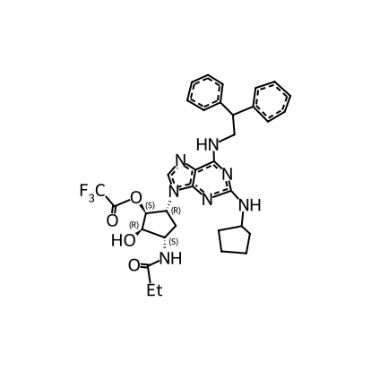 CCC(=O)N[C@H]1C[C@@H](n2cnc3c(NCC(c4ccccc4)c4ccccc4)nc(NC4CCCC4)nc32)[C@H](OC(=O)C(F)(F)F)[C@@H]1O